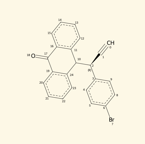 C#C[C@@H](c1ccc(Br)cc1)C1c2ccccc2C(=O)c2ccccc21